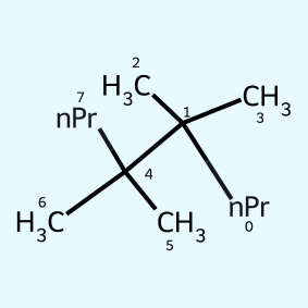 CCCC(C)(C)C(C)(C)CCC